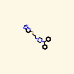 c1ccc(C(c2ccccc2)N2CCN(CCCSc3ccc4ncnn4n3)CC2)cc1